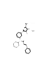 COC(=O)c1sc(-c2cccc(N(C(=O)/C=C/c3ccccc3)C3CCCCC3)c2)c(C)c1OCC(=O)O